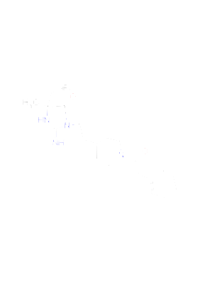 CC(C)CC1(C)NC(=N)N(CCC2CCN(C(=O)Cc3ccccc3)CC2)C1=O